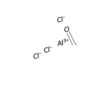 [Al+3].[C]=O.[Cl-].[Cl-].[Cl-]